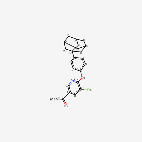 CNC(=O)c1cnc(Oc2ccc(C34CC5CC(CC(C5)C3)C4)cc2)c(F)c1